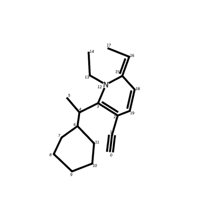 C#CC1=C(C(C)C2CCCCC2)N(CC)/C(=C\C)C=C1